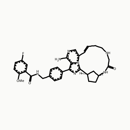 COc1ccc(F)cc1C(=O)NCc1ccc(-c2nc3n4c(cnc(N)c24)/C=C/CCNCC(=O)N[C@@H]2CC[C@@H]3C2)cc1